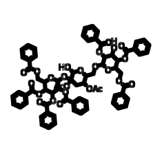 CC(=O)OC1CC(OC(C)=O)(OC2OC(COC(=O)c3ccccc3)C(OC(=O)c3ccccc3)C(OC(=O)c3ccccc3)C2OC(=O)c2ccccc2)C(O)OC1COC1OC(COC(=O)c2ccccc2)C(OC(=O)c2ccccc2)C(O)C1OC(=O)c1ccccc1